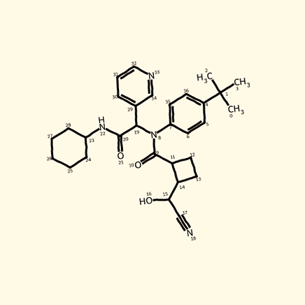 CC(C)(C)c1ccc(N(C(=O)C2CCC2C(O)C#N)C(C(=O)NC2CCCCC2)c2cccnc2)cc1